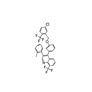 Cc1ccccc1-c1cnc2c(C(F)(F)F)cccc2c1-c1cccc(OCc2cc(Cl)ccc2C(F)(F)F)c1